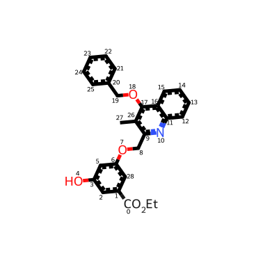 CCOC(=O)c1cc(O)cc(OCc2nc3ccccc3c(OCc3ccccc3)c2C)c1